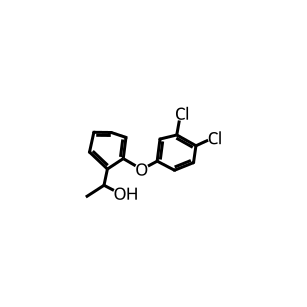 CC(O)c1ccccc1Oc1ccc(Cl)c(Cl)c1